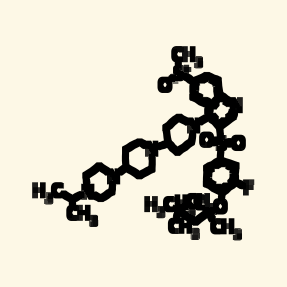 CC(C)N1CCN(C2CCN(C3CCN(c4c(S(=O)(=O)c5ccc(OC(C)(C)CC(C)(C)C)c(F)c5)cnc5ccc([S+](C)[O-])cc45)CC3)CC2)CC1